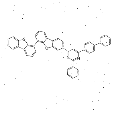 c1ccc(-c2ccc(-c3cc(-c4ccc5c(c4)oc4c(-c6cccc7c6sc6ccccc67)cccc45)nc(-c4ccccc4)n3)cc2)cc1